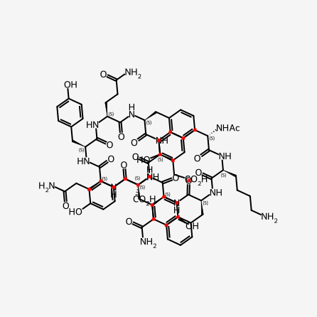 CC(=O)N[C@@H](Cc1ccc(O)cc1)C(=O)N[C@@H](CCCCN)C(=O)N[C@@H](Cc1ccccc1)C(=O)N[C@@H](CCC(N)=O)C(=O)N[C@@H](Cc1ccc(O)cc1)C(=O)N[C@@H](CCC(N)=O)C(=O)N[C@@H](Cc1ccc(O)cc1)C(=O)N[C@@H](CCC(N)=O)C(=O)N[C@@H](Cc1ccccc1)C(=O)N[C@@H](CCC(=O)O)C(=O)N[C@@H](Cc1ccc(O)cc1)C(=O)O